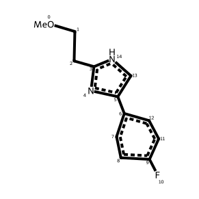 COCCc1nc(-c2ccc(F)cc2)c[nH]1